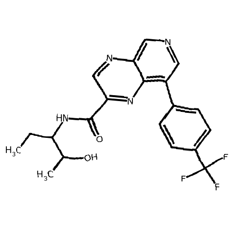 CCC(NC(=O)c1cnc2cncc(-c3ccc(C(F)(F)F)cc3)c2n1)C(C)O